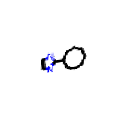 C1=CN=C(C2CCCCCCC2)[N]1